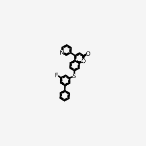 O=c1cc(-c2cccnc2)c2ccc(Sc3cc(F)cc(-c4ccccc4)c3)cc2o1